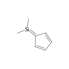 C[Si](C)=C1C=CC=C1